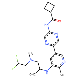 CN(CC(F)F)CC(C=O)Nc1cc(-c2cnc(NC(=O)C3CCC3)cn2)cnc1C#N